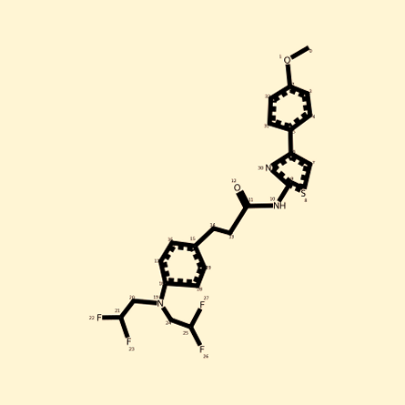 COc1ccc(-c2csc(NC(=O)CCc3ccc(N(CC(F)F)CC(F)F)cc3)n2)cc1